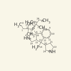 CCC(C)(C)P(Cc1ccccc1C(P)(C1CCNC1)C1CCNC1)C(C)(C)CC